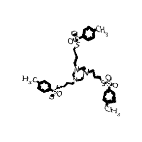 Cc1ccc(S(=O)(=O)SCCCN2CN(CCCSS(=O)(=O)c3ccc(C)cc3)CN(CCCSS(=O)(=O)c3ccc(C)cc3)C2)cc1